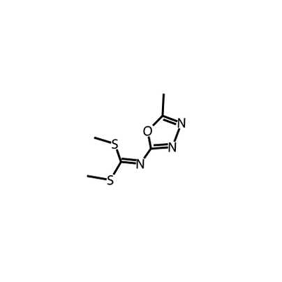 CSC(=Nc1nnc(C)o1)SC